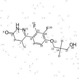 CC1CC(=O)NN=C1c1ccc(OCC(C)(C)CO)c(F)c1F